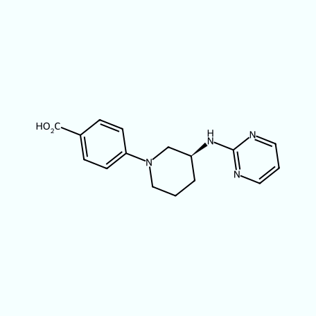 O=C(O)c1ccc(N2CCC[C@H](Nc3ncccn3)C2)cc1